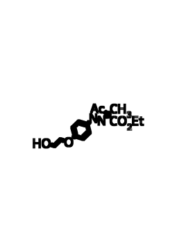 CCOC(=O)C(C)(N=Nc1ccc(OCCO)cc1)C(C)=O